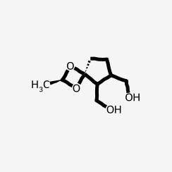 C[C@H]1O[C@]2(CCC(CO)C2CO)O1